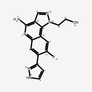 Nc1nc2cc(-c3cc[nH]n3)c(F)cc2c2c1cnn2CCO